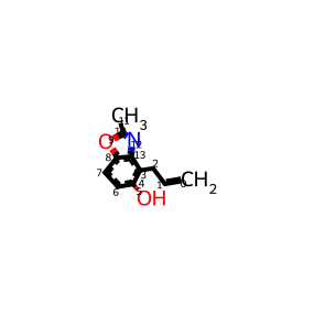 C=CCc1c(O)ccc2oc(C)nc12